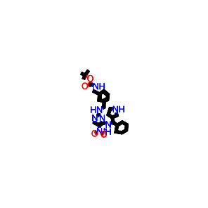 CC(C)(C)OC(=O)NCc1cccc(CNc2ncc([N+](=O)[O-])c(NC(C3CCCCC3)C3CCNC3)n2)c1